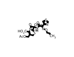 C=CCON=C(C(=O)N[C@]1(OC)C(=O)N2C(C(=O)O)=C(COC(C)=O)CS[C@@H]21)c1cscn1